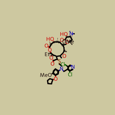 CC[C@H]1OC(=O)[C@H](C)[C@@H](O)[C@H](C)[C@@H](O[C@@H]2O[C@H](C)C[C@H](N(C)C)[C@H]2O)[C@](C)(OC)C[C@@H](C)C(=O)C(C)C2C(SCCN(Cc3c(Cl)cncc3Cl)c3ccc(OC)c(OC4CCCC4)c3)C(=O)O[C@@]21C